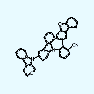 N#Cc1cccc(-n2c3ccccc3c3cc(-n4c5ccccc5c5ccccc54)ccc32)c1-c1ccc2oc3ccccc3c2c1